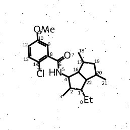 CCC1C(C)C(NC(=O)c2cc(OC)ccc2Cl)C2C(C)CC(C)C12